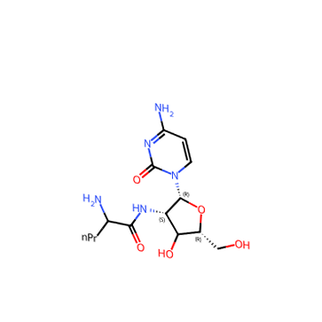 CCCC(N)C(=O)N[C@H]1C(O)[C@@H](CO)O[C@H]1n1ccc(N)nc1=O